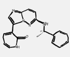 C[C@H](Nc1ccc2ncc(-c3ccc[nH]c3=O)n2n1)c1ccccc1